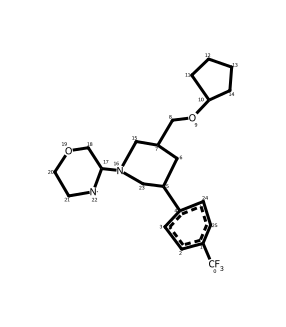 FC(F)(F)c1ccc(C2CC(COC3CCCC3)CN(C3COCC[N]3)C2)cc1